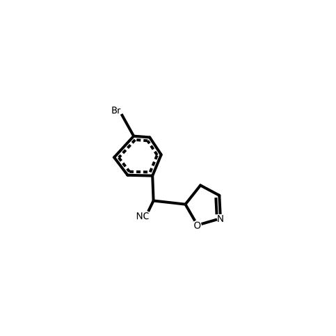 N#CC(c1ccc(Br)cc1)C1CC=NO1